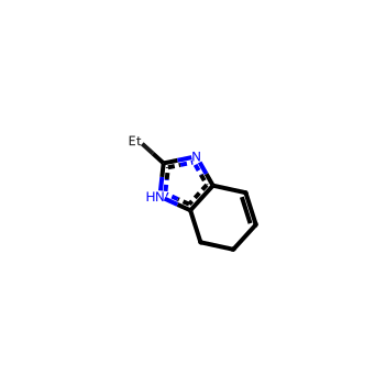 CCc1nc2c([nH]1)CCC=C2